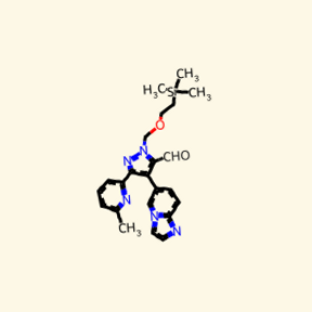 Cc1cccc(-c2nn(COCC[Si](C)(C)C)c(C=O)c2-c2ccc3nccn3c2)n1